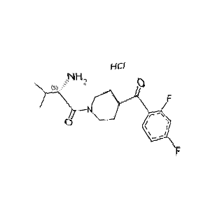 CC(C)[C@H](N)C(=O)N1CCC(C(=O)c2ccc(F)cc2F)CC1.Cl